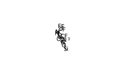 C[C@H]1c2nn(C)c(-c3cc(F)c(F)c(F)c3)c2CCN1C(=O)c1c(C(F)(F)F)cnc2c1ccn2COCC[Si](C)(C)C